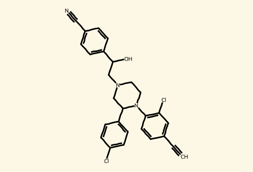 C#Cc1ccc(N2CCN(CC(O)c3ccc(C#N)cc3)CC2c2ccc(Cl)cc2)c(Cl)c1